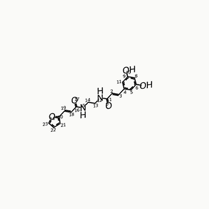 O=C(/C=C/c1cc(O)cc(O)c1)NCCNC(=O)/C=C/c1ccco1